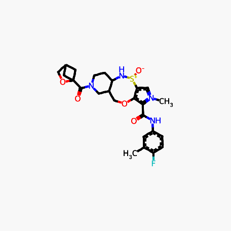 Cc1cc(NC(=O)c2c3c(cn2C)[S+]([O-])NC2CCN(C(=O)C45CC(CO4)C5)CC2CO3)ccc1F